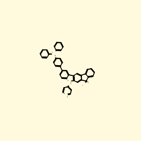 CC1(C)c2ccccc2-c2cc3c4cc(-c5ccc(N(c6ccccc6)c6ccccc6)cc5)ccc4n(-c4ccncc4)c3cc21